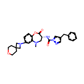 CN1C[C@@H](NC(=O)n2cc(Cc3ccccc3)cn2)C(=O)Oc2ccc(N3CC4(CCOCC4)C3)cc21